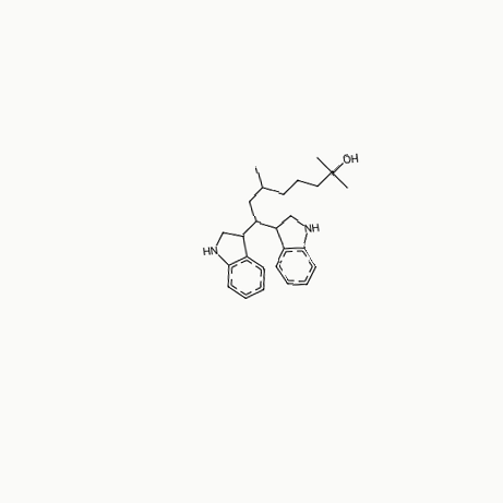 CC(CCCC(C)(C)O)CC(C1CNc2ccccc21)C1CNc2ccccc21